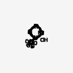 COc1cc(C2=CC3=CC4=NC(=CC5=NC(=CC6=NC(=CC2=N3)C=C6)C=C5)C=C4)c(OC)c(OC)c1OC.Cl